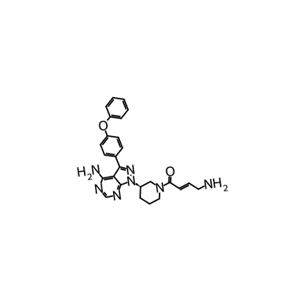 NC/C=C/C(=O)N1CCC[C@@H](n2nc(-c3ccc(Oc4ccccc4)cc3)c3c(N)ncnc32)C1